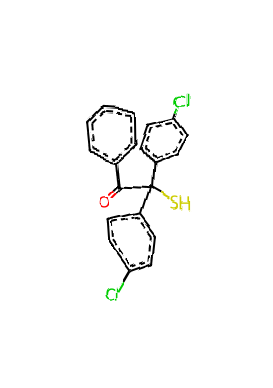 O=C(c1ccccc1)C(S)(c1ccc(Cl)cc1)c1ccc(Cl)cc1